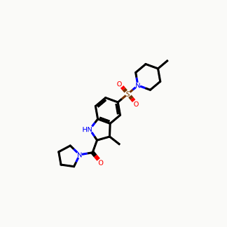 CC1CCN(S(=O)(=O)c2ccc3c(c2)C(C)C(C(=O)N2CCCC2)N3)CC1